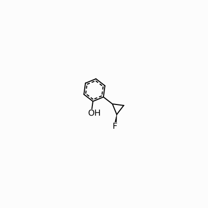 Oc1ccccc1C1C[C@H]1F